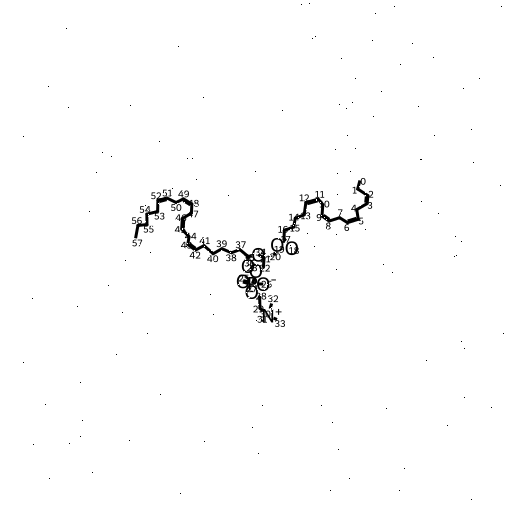 CC/C=C\C/C=C\C/C=C\C/C=C\CCCCC(=O)OC[C@H](COP(=O)([O-])OCC[N+](C)(C)C)OC(=O)CCCCC/C=C\C/C=C\C/C=C\C/C=C\CCCCC